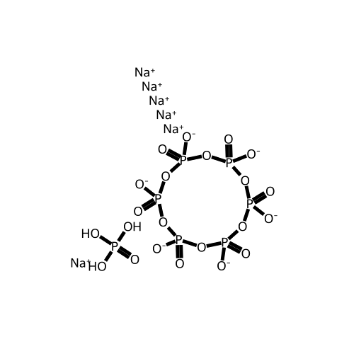 O=P(O)(O)O.O=P1([O-])OP(=O)([O-])OP(=O)([O-])OP(=O)([O-])OP(=O)([O-])OP(=O)([O-])O1.[Na+].[Na+].[Na+].[Na+].[Na+].[Na+]